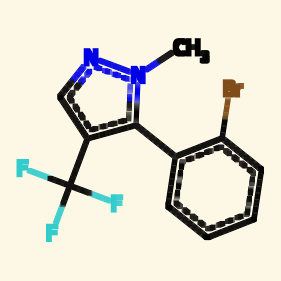 Cn1ncc(C(F)(F)F)c1-c1ccccc1Br